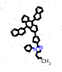 C=C/C=C\c1cnc(-c2ccc(-c3ccc4c(-c5ccc6ccccc6c5)c5ccccc5c(-c5ccc6ccccc6c5)c4c3)cc2)n1-c1ccccc1